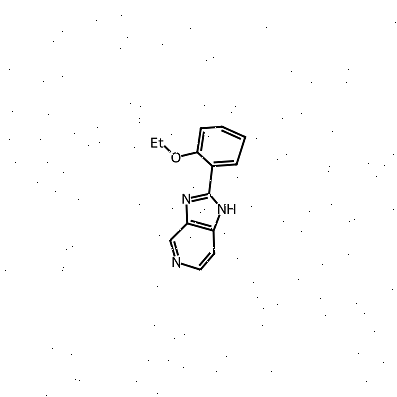 CCOc1ccccc1-c1nc2cnccc2[nH]1